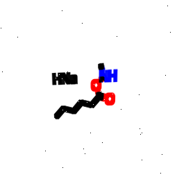 CCCCCC(=O)ONC.[NaH]